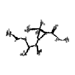 CCOC(C)C(O)C1C(C(=O)OC)C1(C)C